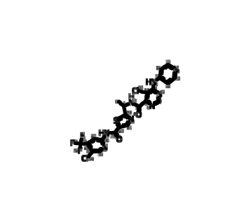 CC(NC(=O)c1ncnc(Nc2ccncc2)c1Cl)c1ncc(C(=O)Nc2cc(C(F)(F)F)c(Cl)cn2)s1